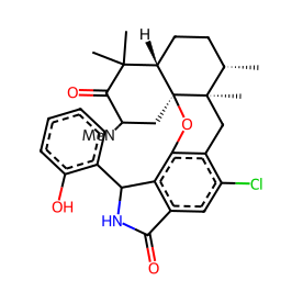 CNC1C[C@@]23Oc4c(c(Cl)cc5c4C(c4ccccc4O)NC5=O)C[C@]2(C)[C@@H](C)CC[C@H]3C(C)(C)C1=O